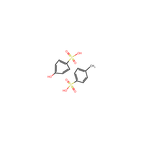 Cc1ccc(S(=O)(=O)O)cc1.O=S(=O)(O)c1ccc(O)cc1